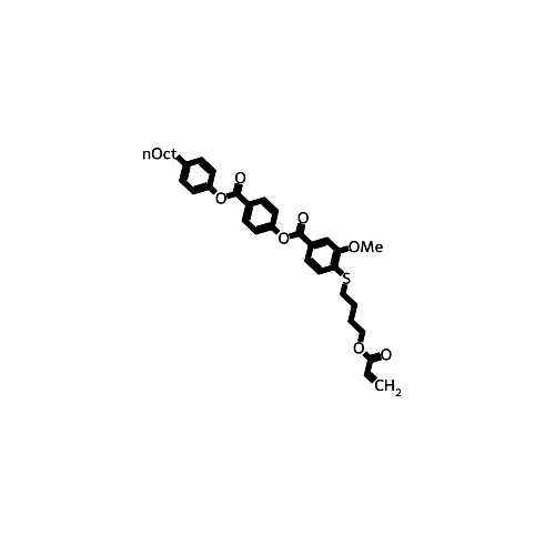 C=CC(=O)OCCCCSc1ccc(C(=O)Oc2ccc(C(=O)Oc3ccc(CCCCCCCC)cc3)cc2)cc1OC